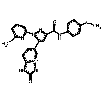 COc1ccc(NC(=O)c2cc(-c3ccc4[nH]c(=O)[nH][n+]4c3)n(-c3cccc(C)n3)n2)cc1